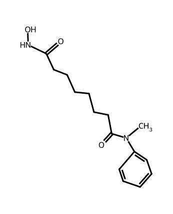 CN(C(=O)CCCCCCC(=O)NO)c1ccccc1